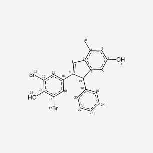 Cc1cc(O)cc2c1C=C(c1cc(Br)c(O)c(Br)c1)C2c1ccccc1